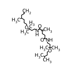 C=CCC(C)CCCOC(C)(C)CCNC(=O)[C@@H](C)CCC(=O)NCCC(C)(C)OCCC(C)C